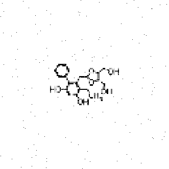 CCc1c(O)cc(O)c(-c2ccccc2)c1CC1O[C@@H](CO)[C@@H](CO)O1